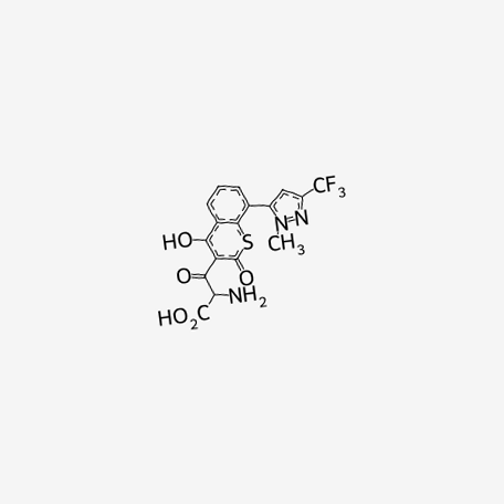 Cn1nc(C(F)(F)F)cc1-c1cccc2c(O)c(C(=O)C(N)C(=O)O)c(=O)sc12